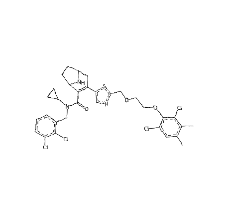 Cc1cc(Cl)c(OCCOCc2ncc(C3=C(C(=O)N(Cc4cccc(Cl)c4Cl)C4CC4)C4CCC(C3)N4)s2)c(Cl)c1C